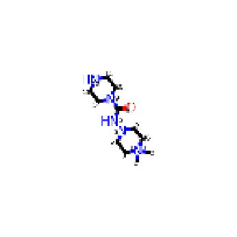 C[N+]1(C)CCN(NC(=O)N2CCNCC2)CC1